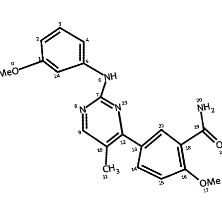 COc1cccc(Nc2ncc(C)c(-c3ccc(OC)c(C(N)=O)c3)n2)c1